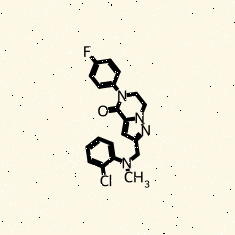 CN(Cc1cc2n(n1)CCN(c1ccc(F)cc1)C2=O)c1ccccc1Cl